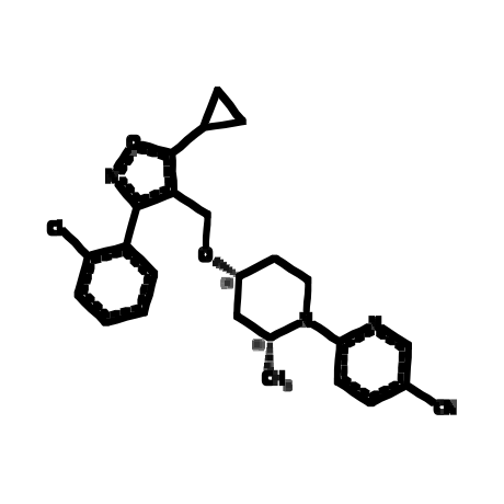 C[C@@H]1C[C@H](OCc2c(-c3ccccc3Cl)noc2C2CC2)CCN1c1ccc(C#N)cn1